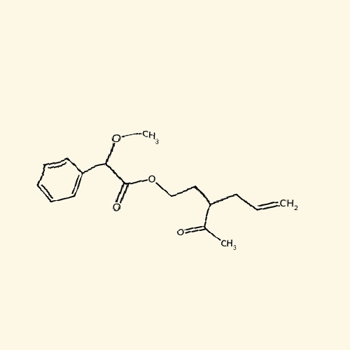 C=CCC(CCOC(=O)C(OC)c1ccccc1)C(C)=O